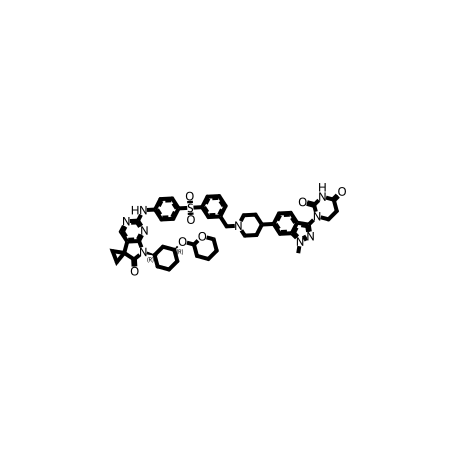 Cn1nc(N2CCC(=O)NC2=O)c2ccc(C3CCN(Cc4cccc(S(=O)(=O)c5ccc(Nc6ncc7c(n6)N([C@@H]6CCC[C@@H](OC8CCCCO8)C6)C(=O)C76CC6)cc5)c4)CC3)cc21